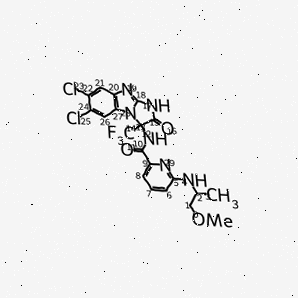 COC[C@H](C)Nc1cccc(C(=O)NC2(C(F)(F)F)C(=O)Nc3nc4cc(Cl)c(Cl)cc4n32)n1